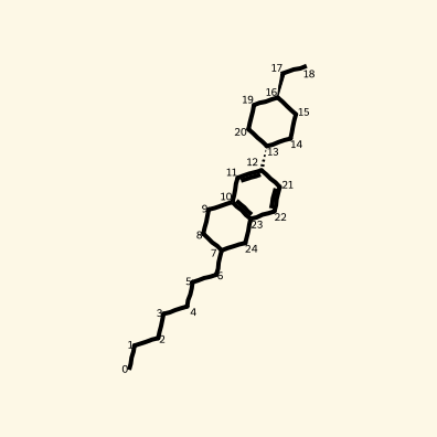 CCCCCCCC1CCc2cc([C@H]3CC[C@H](CC)CC3)ccc2C1